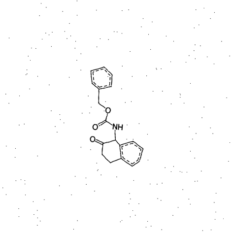 O=C(NC1C(=O)CCc2ccccc21)OCc1ccccc1